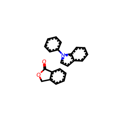 O=C1OCc2ccccc21.c1ccc(-n2ccc3ccccc32)cc1